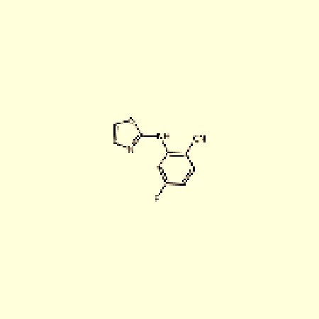 N#Cc1ccc(F)cc1Nc1nccs1